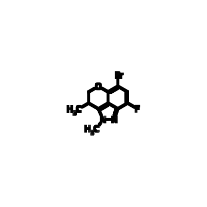 CC1COc2c(Br)cc(F)c3nn(C)c1c23